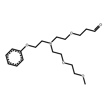 COCCOCCN(CCOCCC=O)CCOc1ccccc1